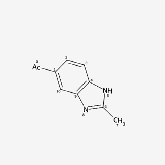 CC(=O)c1ccc2[nH]c(C)nc2c1